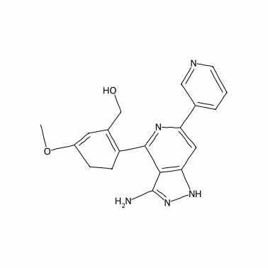 COC1=CC(CO)=C(c2nc(-c3cccnc3)cc3[nH]nc(N)c23)CC1